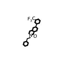 O=c1c2ccc(-c3cccc(C(F)(F)F)c3)cc2ccn1CCc1ccccc1